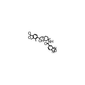 Cc1c(C(O)CN2CCC(C)(NC(=O)c3ccc4nonc4c3)CC2)ccc2c1COC2=O